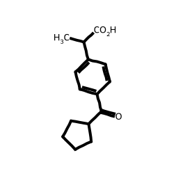 CC(C(=O)O)c1ccc(C(=O)C2CCCC2)cc1